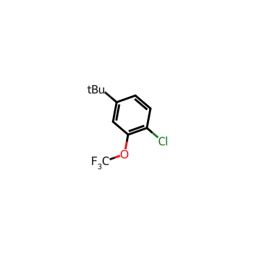 CC(C)(C)c1ccc(Cl)c(OC(F)(F)F)c1